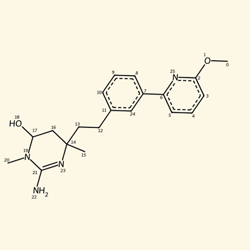 COc1cccc(-c2cccc(CCC3(C)CC(O)N(C)C(N)=N3)c2)n1